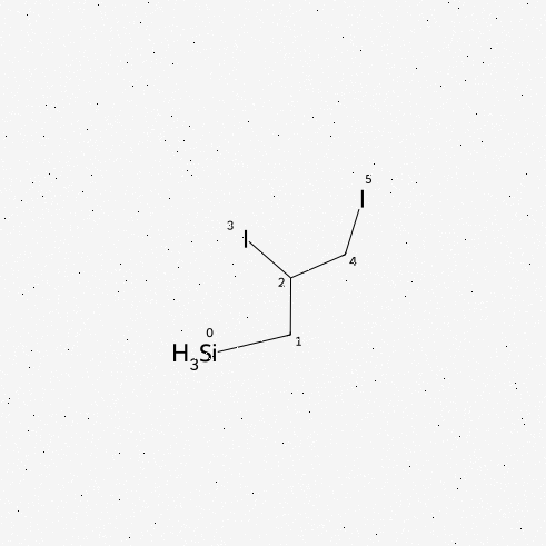 [SiH3]CC(I)CI